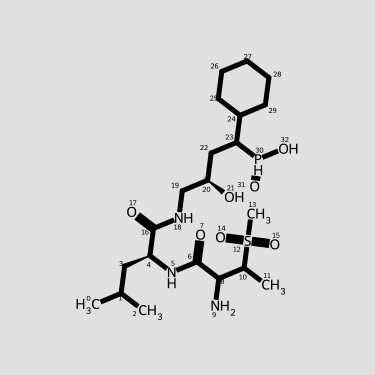 CC(C)C[C@H](NC(=O)C(N)C(C)S(C)(=O)=O)C(=O)NC[C@H](O)CC(C1CCCCC1)[PH](=O)O